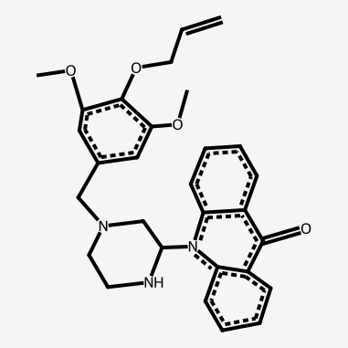 C=CCOc1c(OC)cc(CN2CCNC(n3c4ccccc4c(=O)c4ccccc43)C2)cc1OC